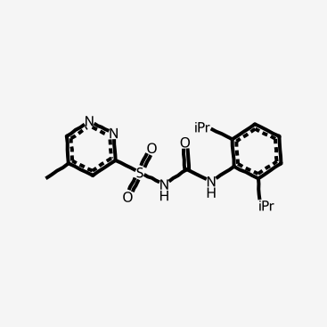 Cc1cnnc(S(=O)(=O)NC(=O)Nc2c(C(C)C)cccc2C(C)C)c1